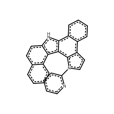 c1ccc(-n2ccc3c4ccccc4c4[nH]c5ccc6ccccc6c5c4c32)nc1